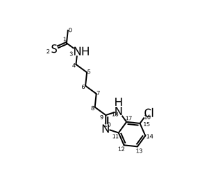 CC(=S)NCCCCCc1nc2cccc(Cl)c2[nH]1